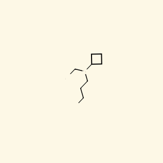 [CH2]CCCN(CC)C1CCC1